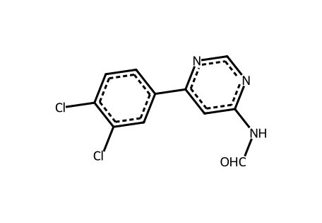 O=CNc1cc(-c2ccc(Cl)c(Cl)c2)ncn1